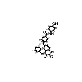 C[C@@H]1C(=O)N(C)c2ccc(Nc3ccc(C(=O)NC4CCC(O)CC4)cc3)nc2N1Cc1ccccc1